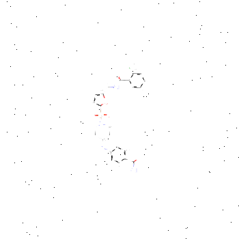 NC(=O)c1ccc(NC2CCN(S(=O)(=O)c3ccc(CNC(=O)c4ccccc4Cl)o3)CC2)cc1